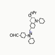 CCCOC1Cc2cc(/C=N/N(c3ccccc3)c3ccc(C=O)cc3)ccc2N(c2ccccc2)C1